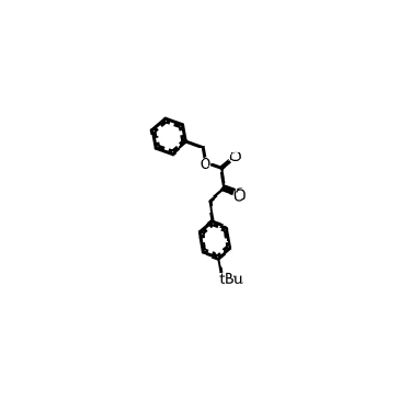 CC(C)(C)c1ccc(CC(=O)C(=O)OCc2ccccc2)cc1